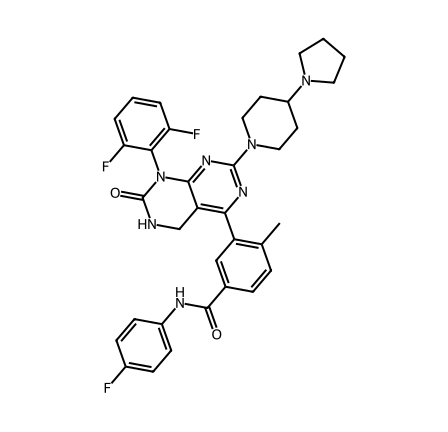 Cc1ccc(C(=O)Nc2ccc(F)cc2)cc1-c1nc(N2CCC(N3CCCC3)CC2)nc2c1CNC(=O)N2c1c(F)cccc1F